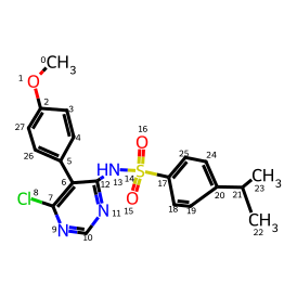 COc1ccc(-c2c(Cl)ncnc2NS(=O)(=O)c2ccc(C(C)C)cc2)cc1